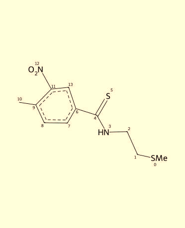 CSCCNC(=S)c1ccc(C)c([N+](=O)[O-])c1